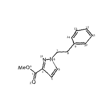 COC(=O)c1ccn(CCc2ccccc2)n1